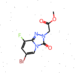 COC(=O)Cn1nc2c(F)cc(Br)cn2c1=O